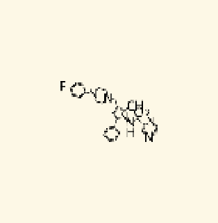 Cc1c(CN2CCN(c3ccc(F)cc3)CC2)cc(-c2ccccc2)n1NC(=O)c1cnccn1